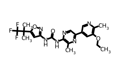 CCOc1cc(-c2cnc(NC(=O)Nc3cc(C(C)(C)C(F)(F)F)on3)c(C)n2)cnc1C